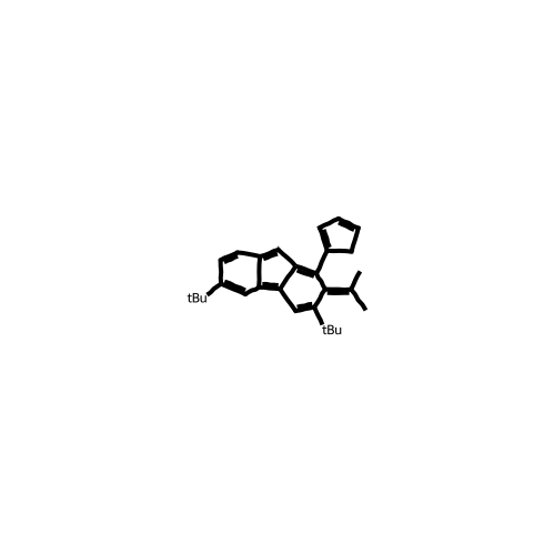 CC(C)=c1c(C(C)(C)C)cc2c(c1C1=CC=CC1)[C]=c1ccc(C(C)(C)C)cc1=2